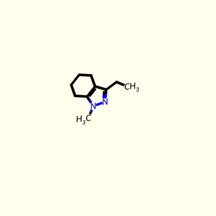 CCc1nn(C)c2c1CCCC2